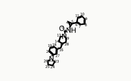 O=C(NC1CC1c1ccccc1)N1CCC(Cc2cccc(N3CCCC3)c2)CC1